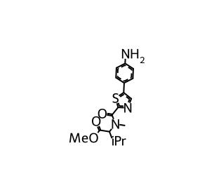 COC(=O)C(C(C)C)N(C)C(=O)c1ncc(-c2ccc(N)cc2)s1